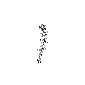 CCOCCOCCNC(=O)CCCC(=O)NCc1ccc(-c2nncnn2)cc1